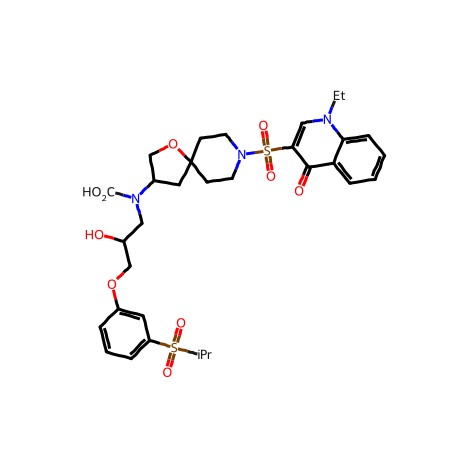 CCn1cc(S(=O)(=O)N2CCC3(CC2)CC(N(CC(O)COc2cccc(S(=O)(=O)C(C)C)c2)C(=O)O)CO3)c(=O)c2ccccc21